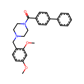 COc1ccc(CN2CCN(C(=O)c3ccc(-c4ccccc4)cc3)CC2)c(OC)c1